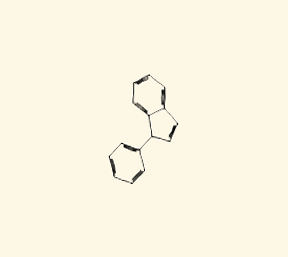 [c]1ccc(C2C=Cc3ccccc32)cc1